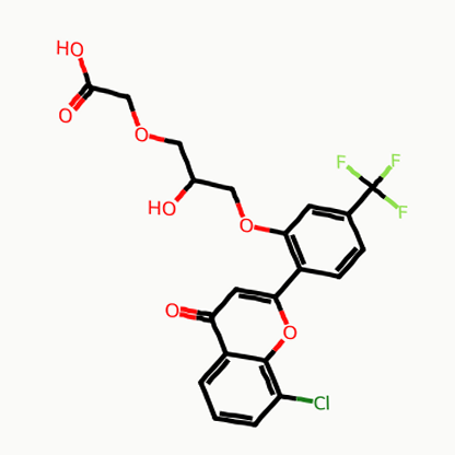 O=C(O)COCC(O)COc1cc(C(F)(F)F)ccc1-c1cc(=O)c2cccc(Cl)c2o1